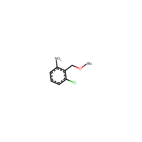 CC(C)(C)OCc1c(Cl)cccc1[N+](=O)[O-]